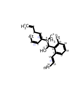 C=CC/C=C(\C=C/CC)N(C)C(O)c1c(/C=C/CCC)cccc1CC